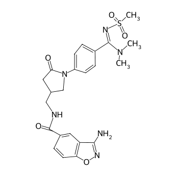 CN(C)C(=NS(C)(=O)=O)c1ccc(N2CC(CNC(=O)c3ccc4onc(N)c4c3)CC2=O)cc1